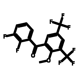 COc1c(C(=O)c2cccc(F)c2F)cc(C(F)(F)F)cc1C(F)(F)F